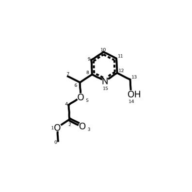 COC(=O)COC(C)c1cccc(CO)n1